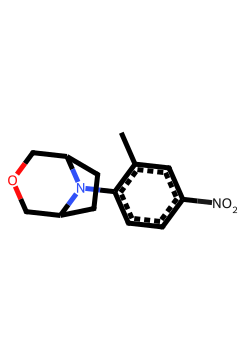 Cc1cc([N+](=O)[O-])ccc1N1C2CCC1COC2